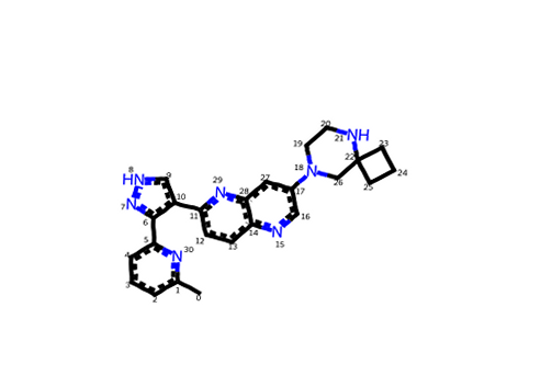 Cc1cccc(-c2n[nH]cc2-c2ccc3ncc(N4CCNC5(CCC5)C4)cc3n2)n1